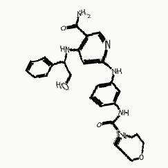 NC(=O)c1cnc(Nc2cccc(NC(=O)N3CCOCC3)c2)cc1NC(CO)c1ccccc1